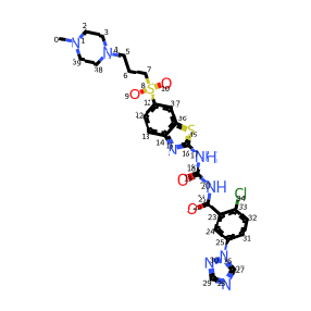 CN1CCN(CCCS(=O)(=O)c2ccc3nc(NC(=O)NC(=O)c4cc(-n5cncn5)ccc4Cl)sc3c2)CC1